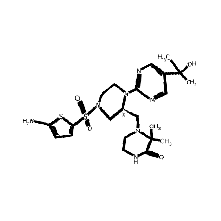 CC(C)(O)c1cnc(N2CCN(S(=O)(=O)c3ccc(N)s3)C[C@@H]2CN2CCNC(=O)C2(C)C)nc1